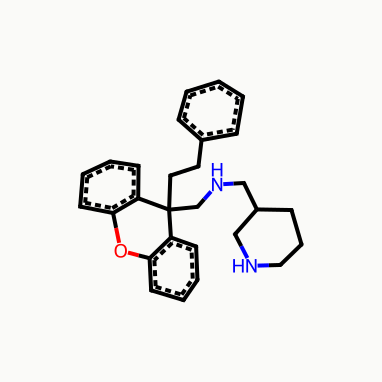 c1ccc(CCC2(CNCC3CCCNC3)c3ccccc3Oc3ccccc32)cc1